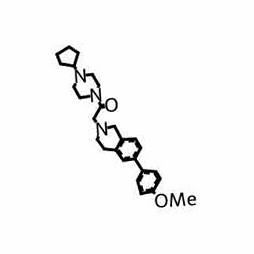 COc1ccc(-c2ccc3c(c2)CCN(CC(=O)N2CCN(C4CCCC4)CC2)C3)cc1